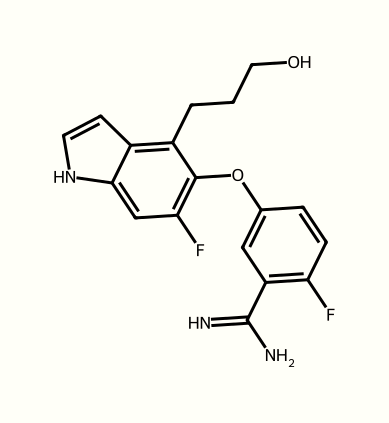 N=C(N)c1cc(Oc2c(F)cc3[nH]ccc3c2CCCO)ccc1F